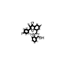 Cc1cc([C@@H](C)Nc2ccccc2CO)c2oc(-c3ccc(F)cc3)c(C)c(=O)c2c1